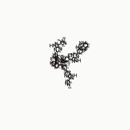 Cc1c(-c2n[nH]c3nc(N4CC[C@@H]5[C@H](C4)[C@]5(c4ccccc4F)C(N)(NS(=O)(=O)c4ccc(-c5n[nH]c6nc(N7CC[C@@H]8[C@H](C7)[C@@]8(CN)c7ccccc7F)cnc56)c(Cl)c4)C(N)[C@]4(c5ccccc5F)[C@@H]5CCN(c6cnc7c(-c8cnn(C)c8)n[nH]c7n6)C[C@@H]54)cnc23)cnn1C